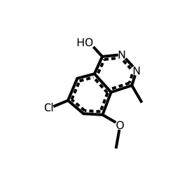 COc1cc(Cl)cc2c(O)nnc(C)c12